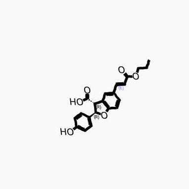 CCCOC(=O)/C=C/c1ccc2c(c1)[C@@H](C(=O)O)[C@H](c1ccc(O)cc1)O2